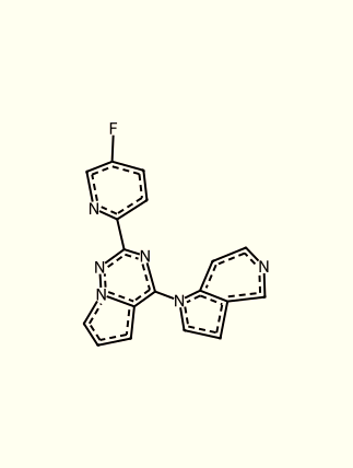 Fc1ccc(-c2nc(-n3ccc4cnccc43)c3cccn3n2)nc1